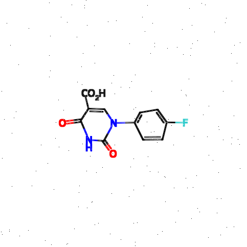 O=C(O)c1cn(-c2ccc(F)cc2)c(=O)[nH]c1=O